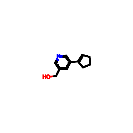 OCc1cncc(C2=CCCC2)c1